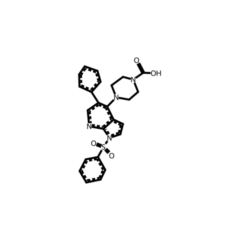 O=C(O)N1CCN(c2c(-c3ccccc3)cnc3c2ccn3S(=O)(=O)c2ccccc2)CC1